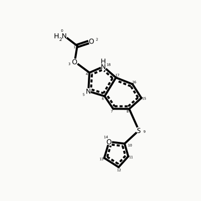 NC(=O)Oc1nc2cc(Sc3ccco3)ccc2[nH]1